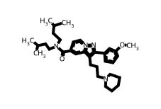 COc1cccc(-c2nn3ccc(C(=O)N(CCC(C)C)CCC(C)C)cc3c2CCCN2CCCCC2)c1